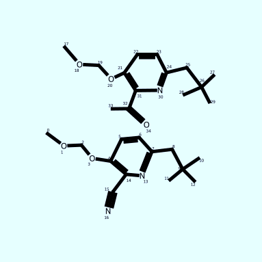 COCOc1ccc(CC(C)(C)C)nc1C#N.COCOc1ccc(CC(C)(C)C)nc1C(C)=O